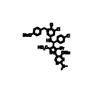 COc1ccc(Cn2cc(NC(c3ccc(Cl)cc3)c3c(C(=O)O)nn(-c4cnc(N(C)C)nc4OC)c3C(C)C)cc(Cl)c2=O)cc1